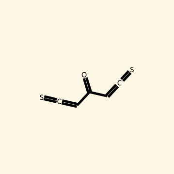 O=C(C=C=S)C=C=S